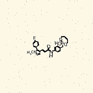 Cn1ncc(C=CC(=O)Nc2ccc(C[P]3(O)OCC=CCO3)cc2)c1-c1ccc(F)cc1